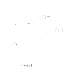 CCCC(C)C1OCC(C)(N)C(O)C1C